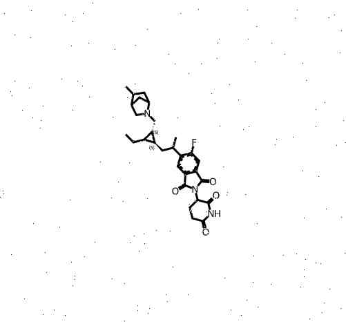 CCC1[C@H](CC(C)c2cc3c(cc2F)C(=O)N(C2CCC(=O)NC2=O)C3=O)[C@H]1CN1CC2CC1CC2C